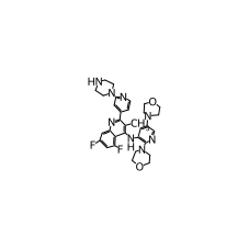 Cc1c(-c2ccnc(N3CCNCC3)c2)nc2cc(F)cc(F)c2c1Nc1cc(N2CCOCC2)cnc1N1CCOCC1